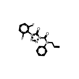 C=CCN(C(=O)n1nnn(-c2c(F)cccc2F)c1=O)c1ccccc1